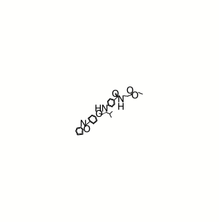 CCOC(=O)CCNC(=O)c1ccc(N[C@H](COc2ccc(-c3nc4ccccc4o3)cc2)C(C)C)cc1